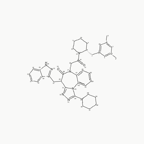 Cc1cc(C)cc(C[C@H]2CCCCN2C(=O)CN2C(=O)C(Cc3n[nH]c4ccccc34)c3nnc(C4CCCCC4)n3-c3ccccc32)c1